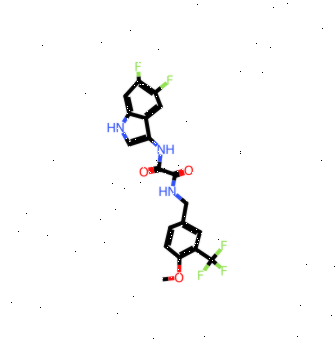 COc1ccc(CNC(=O)C(=O)Nc2c[nH]c3cc(F)c(F)cc23)cc1C(F)(F)F